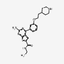 CCNC(=O)c1cc2c(-c3cccc(OCCC4CCNCC4)c3)nc(N)nc2s1